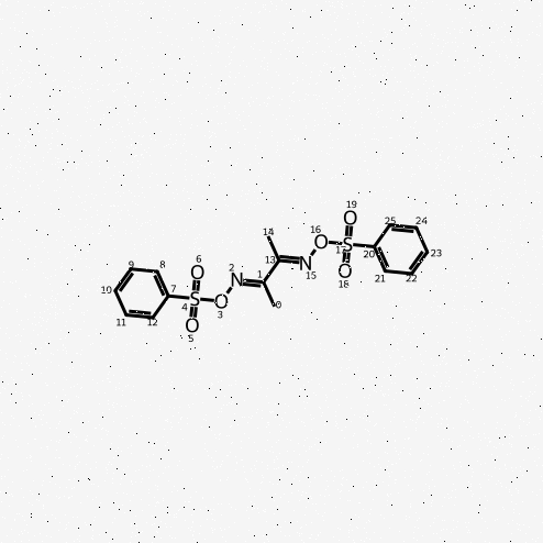 CC(=N\OS(=O)(=O)c1ccccc1)/C(C)=N/OS(=O)(=O)c1ccccc1